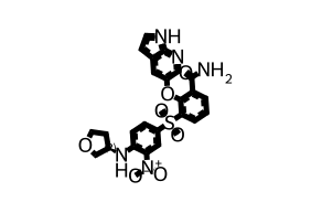 NC(=O)c1cccc(S(=O)(=O)c2ccc(N[C@@H]3CCOC3)c([N+](=O)[O-])c2)c1Oc1cnc2[nH]ccc2c1